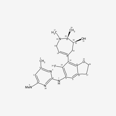 CNc1cc(C)nc(Nc2cc3c(c(C4=CCN(C)[C@@H](C)[C@@H](O)C4)c2F)OCC3)n1